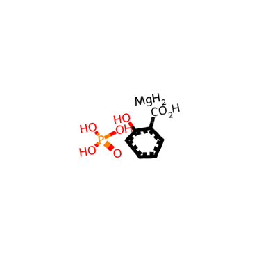 O=C(O)c1ccccc1O.O=P(O)(O)O.[MgH2]